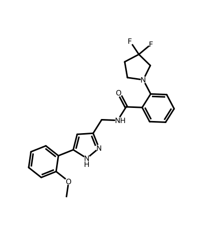 COc1ccccc1-c1cc(CNC(=O)c2ccccc2N2CCC(F)(F)C2)n[nH]1